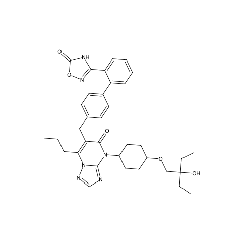 CCCc1c(Cc2ccc(-c3ccccc3-c3noc(=O)[nH]3)cc2)c(=O)n(C2CCC(OCC(O)(CC)CC)CC2)c2ncnn12